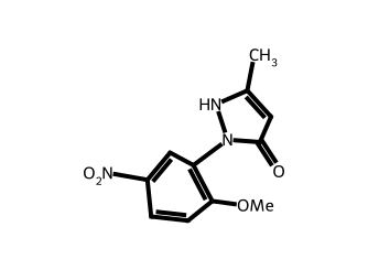 COc1ccc([N+](=O)[O-])cc1-n1[nH]c(C)cc1=O